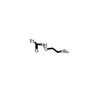 CCCCCCONC(=O)CC